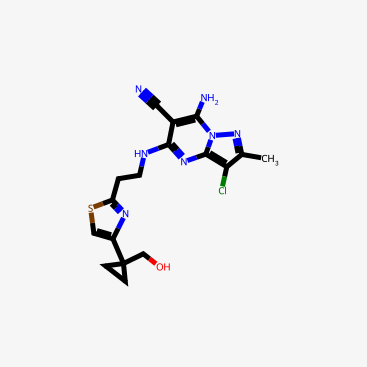 Cc1nn2c(N)c(C#N)c(NCCc3nc(C4(CO)CC4)cs3)nc2c1Cl